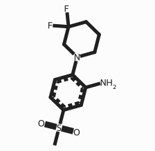 CS(=O)(=O)c1ccc(N2CCCC(F)(F)C2)c(N)c1